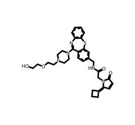 O=C(CN1C(=O)C=CC1=C1CCC1)NCc1ccc2c(c1)Sc1ccccc1N=C2N1CCN(CCOCCO)CC1